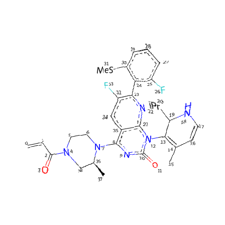 C=CC(=O)N1CCN(c2nc(=O)n(C3=C(C)C=CNC3C(C)C)c3nc(-c4c(F)cccc4SC)c(F)cc23)[C@@H](C)C1